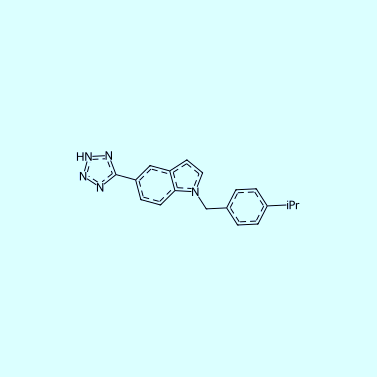 CC(C)c1ccc(Cn2ccc3cc(-c4nn[nH]n4)ccc32)cc1